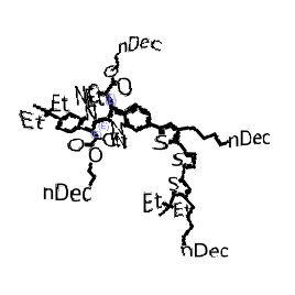 CCCCCCCCCCCCCCc1cc(-c2ccc3c(=C(/C#N)C(=O)OCCCCCCCCCCCC)/c(=c4/c(=C(\C#N)C(=O)OCCCCCCCCCCCC)c5ccc(C(C)(CC)CC)cc5n4CC)n(CC)c3c2)sc1-c1ccc(-c2cc(CCCCCCCCCCCCCC)c(C(C)(CC)CC)s2)s1